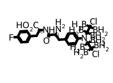 BC(B)(Cl)C(B)(B)N(c1ccc(C[C@H](N)C(=O)N[C@@H](Cc2ccc(F)cc2)C(=O)O)cc1)C(B)(B)C(B)(B)Cl